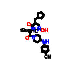 CC(C)(C)[C@H](NC(=O)C(CC1CCCC1)CN(O)C=O)C(=O)N1CCC(Nc2ccc(C#N)cc2)CC1